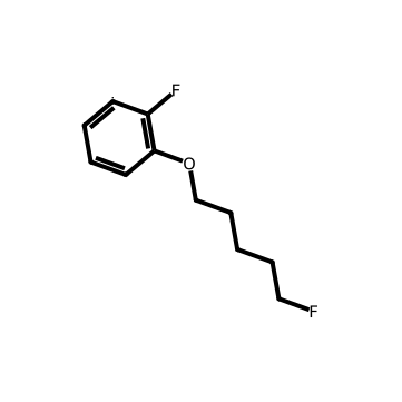 FCCCCCOc1ccc[c]c1F